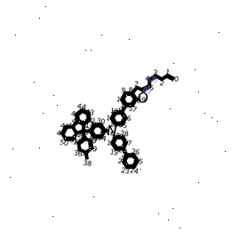 C=CC/C=C\C=C1/Cc2ccc(-c3ccc(N(c4ccc(-c5ccccc5)cc4)c4ccc(C5(C6=CCC(C)C=C6)c6ccccc6C6C=CC=CC65)cc4)cc3)cc2O1